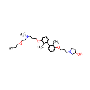 Cc1c(OCCCN(C)CCOCCC(C)C)cccc1-c1cccc(OCCCN2CC[C@@H](O)C2)c1C